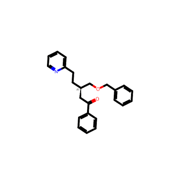 O=C(C[C@@H](CCc1ccccn1)COCc1ccccc1)c1ccccc1